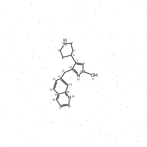 On1cc(C2CCNCC2)c(Cc2ccc3cccnc3c2)n1